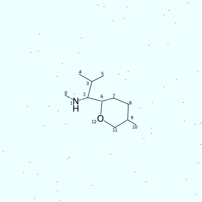 CNC(C(C)C)C1CCC(C)CO1